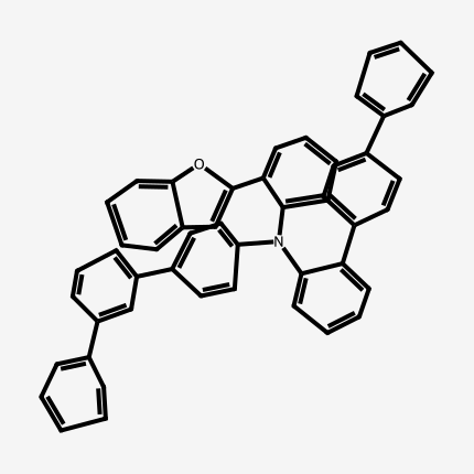 c1ccc(-c2ccc(-c3ccccc3N(c3ccc(-c4cccc(-c5ccccc5)c4)cc3)c3ccccc3-c3cc4ccccc4o3)cc2)cc1